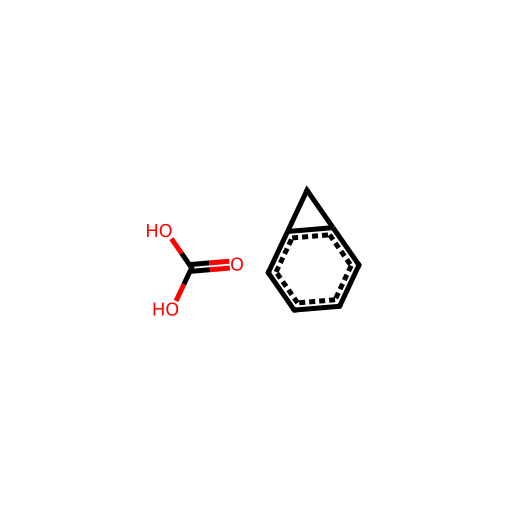 O=C(O)O.c1ccc2c(c1)C2